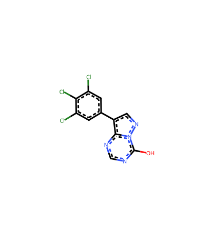 Oc1ncnc2c(-c3cc(Cl)c(Cl)c(Cl)c3)cnn12